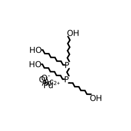 CC(=O)[O-].CC(=O)[O-].OCCCCCCCCP(CCCCCCCCO)CCCP(CCCCCCCCO)CCCCCCCCO.[Pd+2]